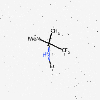 CCNC(C)(NC)C(F)(F)F